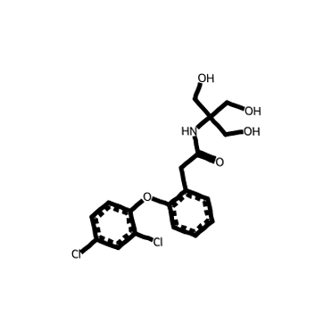 O=C(Cc1ccccc1Oc1ccc(Cl)cc1Cl)NC(CO)(CO)CO